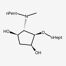 CCCCCCCO[C@@H]1[C@@H](N(C)CCCCC)[C@H](O)C[C@@H]1O